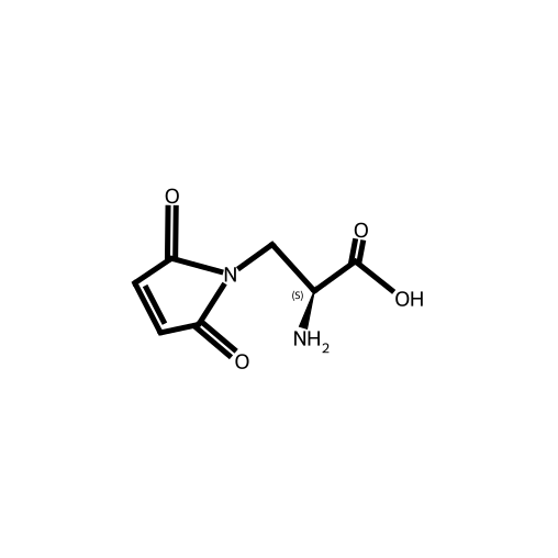 N[C@@H](CN1C(=O)C=CC1=O)C(=O)O